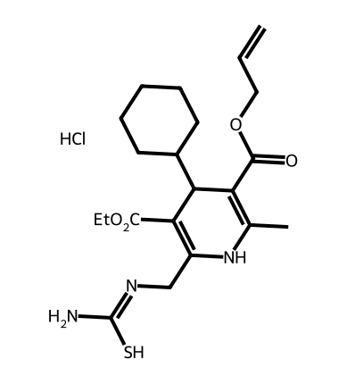 C=CCOC(=O)C1=C(C)NC(CN=C(N)S)=C(C(=O)OCC)C1C1CCCCC1.Cl